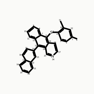 Cc1ccc(Sc2c3ccccc3c(-c3ccc4ccccc4c3)c3cnccc23)c(C)c1